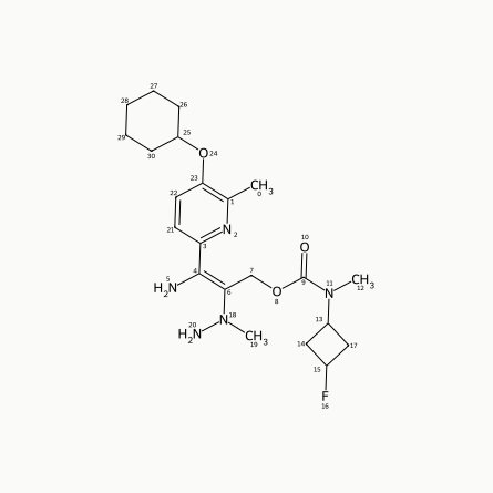 Cc1nc(/C(N)=C(\COC(=O)N(C)C2CC(F)C2)N(C)N)ccc1OC1CCCCC1